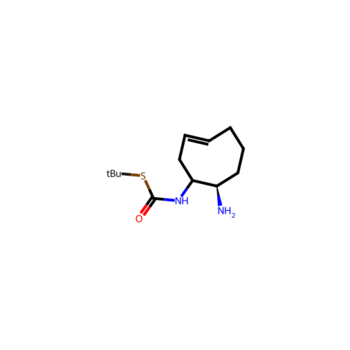 CC(C)(C)SC(=O)NC1C/C=C/CCC[C@H]1N